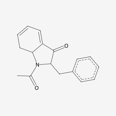 CC(=O)N1C(Cc2ccccc2)C(=O)C2=CC=CCC21